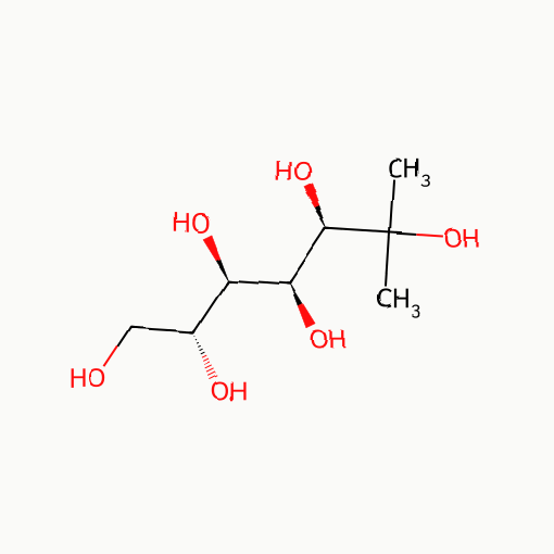 CC(C)(O)[C@H](O)[C@@H](O)[C@H](O)[C@H](O)CO